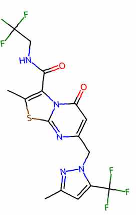 Cc1cc(C(F)(F)F)n(Cc2cc(=O)n3c(C(=O)NCC(F)(F)F)c(C)sc3n2)n1